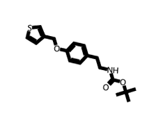 CC(C)(C)OC(=O)NCCc1ccc(OCc2ccsc2)cc1